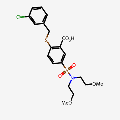 COCCN(CCOC)S(=O)(=O)c1ccc(SCc2cccc(Cl)c2)c(C(=O)O)c1